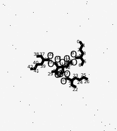 CCCCC(CC)C(=O)OC(=O)CC(O)(C(=O)OC(=O)C(CC)CCCC)C(C(C)=O)C(=O)OC(=O)C(CC)CCCC